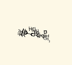 Cl.[2H]C([2H])([2H])n1cc(-c2ccc(-c3cnc(N4C[C@@H](C)N[C@@H](C5CCC5)C4)nn3)c(O)c2)cn1